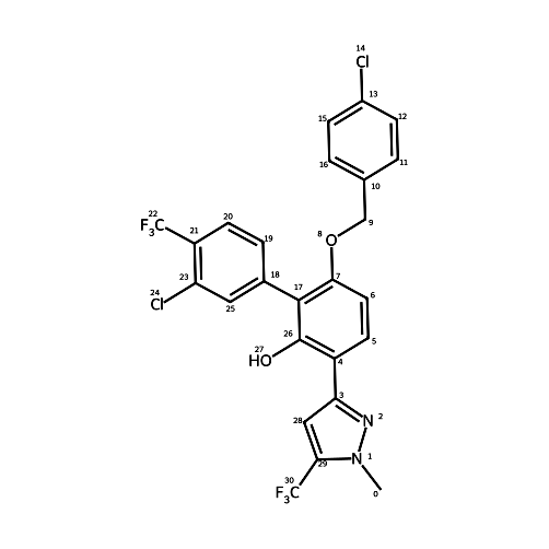 Cn1nc(-c2ccc(OCc3ccc(Cl)cc3)c(-c3ccc(C(F)(F)F)c(Cl)c3)c2O)cc1C(F)(F)F